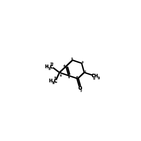 CC1CCC2=C(C1=O)C2(C)C